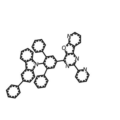 c1ccc(-c2ccc3c(c2)c2ccccc2n3-c2c(-c3ccccc3)cc(-c3nc(-c4ccccn4)nc4c3oc3ncccc34)cc2-c2ccccc2)cc1